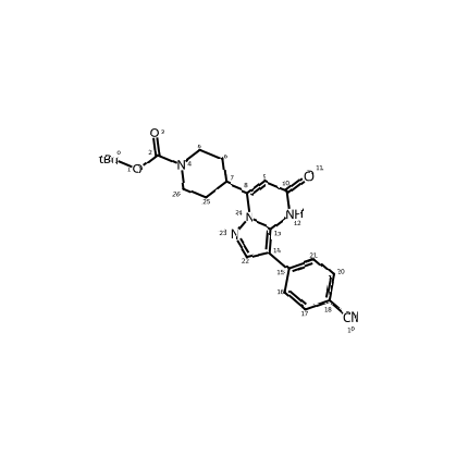 CC(C)(C)OC(=O)N1CCC(c2cc(=O)[nH]c3c(-c4ccc(C#N)cc4)cnn23)CC1